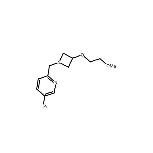 COCCOC1CN(Cc2ccc(C(C)C)cn2)C1